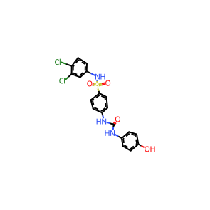 O=C(Nc1ccc(O)cc1)Nc1ccc(S(=O)(=O)Nc2ccc(Cl)c(Cl)c2)cc1